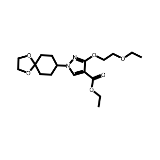 CCOCCOc1nn(C2CCC3(CC2)OCCO3)cc1C(=O)OCC